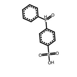 O=[PH](c1ccccc1)c1ccc(S(=O)(=O)O)cc1